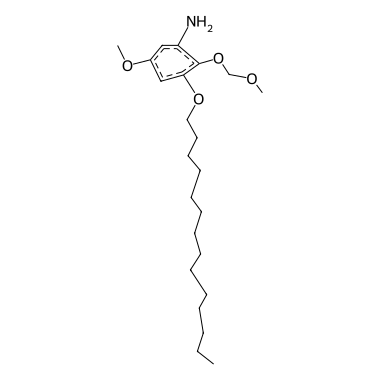 CCCCCCCCCCCCCCOc1cc(OC)cc(N)c1OCOC